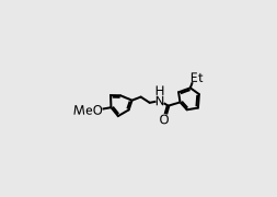 CCc1cccc(C(=O)NCCc2ccc(OC)cc2)c1